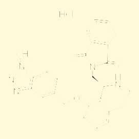 Cl.Cn1nnc2cc(COc3cccc4c3[C@@H](CN3C(=O)c5ccccc5C3=O)NCC4)ccc21